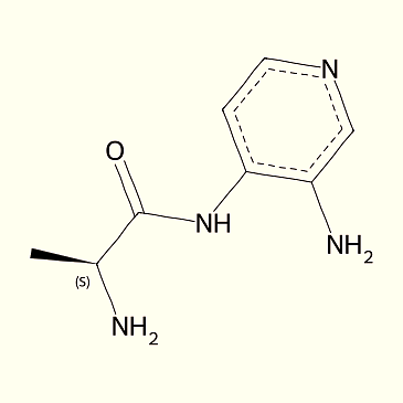 C[C@H](N)C(=O)Nc1ccncc1N